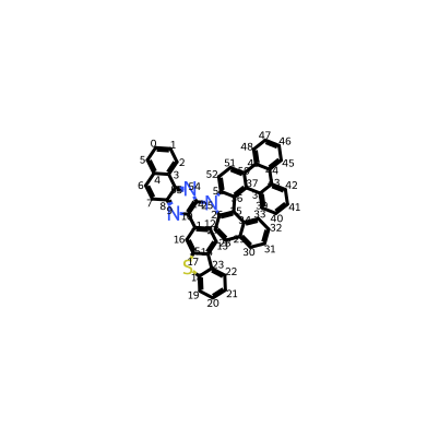 c1ccc2c(c1)ccc1nc(-c3ccc4c(c3)sc3ccccc34)c(-n3c4ccc5ccccc5c4c4c5c6ccccc6c6ccccc6c5ccc43)nc12